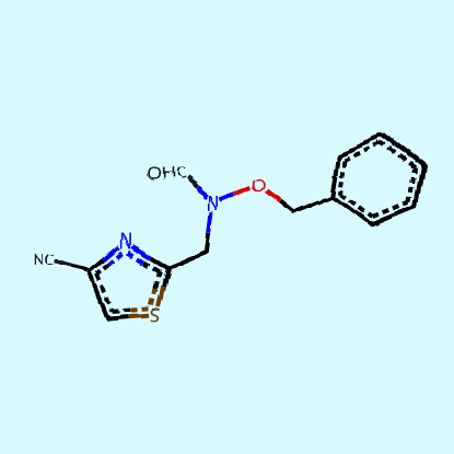 N#Cc1csc(CN(C=O)OCc2ccccc2)n1